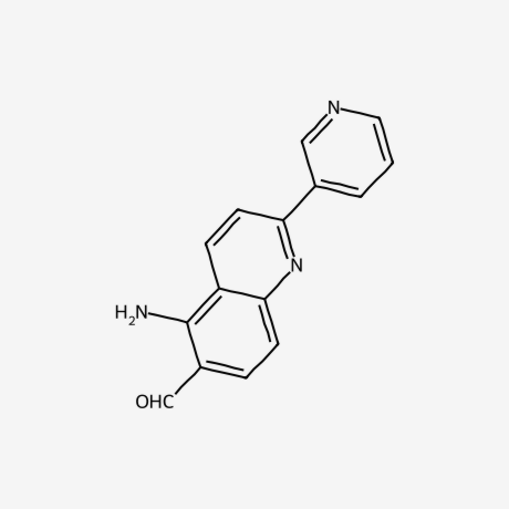 Nc1c(C=O)ccc2nc(-c3cccnc3)ccc12